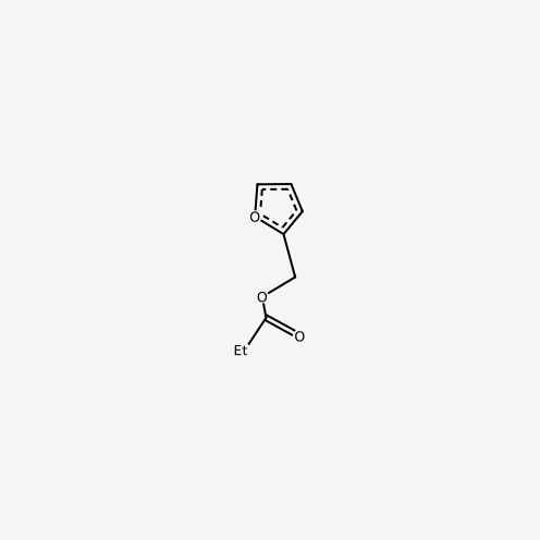 [CH2]CC(=O)OCc1ccco1